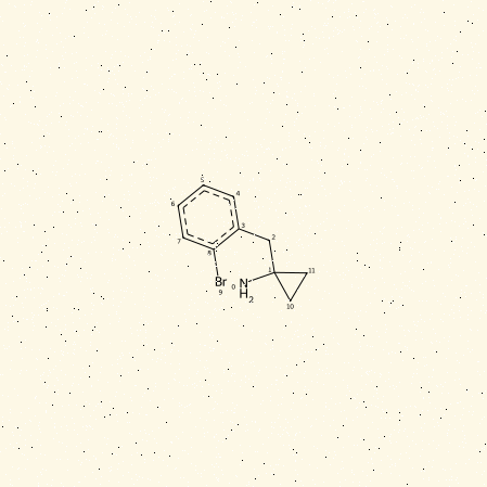 NC1(Cc2ccccc2Br)CC1